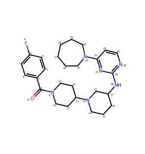 O=C(c1ccc(F)cc1)N1CCC(N2CCCC(Nc3nccc(N4CCCCCC4)n3)C2)CC1